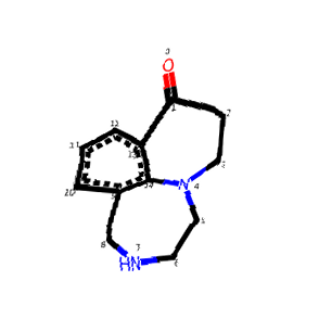 O=C1CCN2CCNCc3cccc1c32